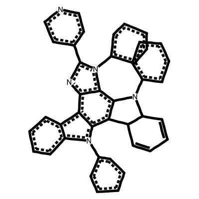 C1=CC2c3c(c4c(nc(-c5ccncc5)n4-c4ccccc4)c4c5ccccc5n(-c5ccccc5)c34)N(c3ccccc3)C2C=C1